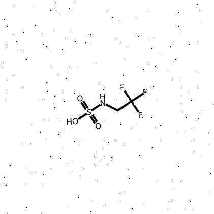 O=S(=O)(O)NCC(F)(F)F